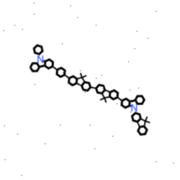 CC1(C)c2cc(-c3ccc(-c4ccc5c(c4)c4ccccc4n5-c4ccccc4)cc3)ccc2-c2ccc(-c3ccc4c(c3)C(C)(C)c3cc(-c5ccc6c(c5)c5ccccc5n6-c5ccc6c(c5)C(C)(C)c5ccccc5-6)ccc3-4)cc21